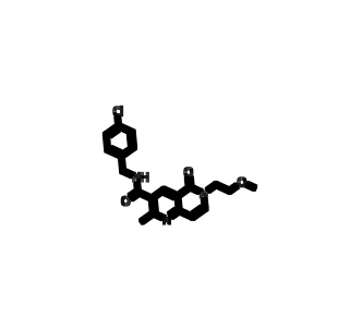 COCCn1ccc2nc(C)c(C(=O)NCc3ccc(Cl)cc3)cc2c1=O